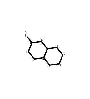 FC1CCC2CCCCC2C1